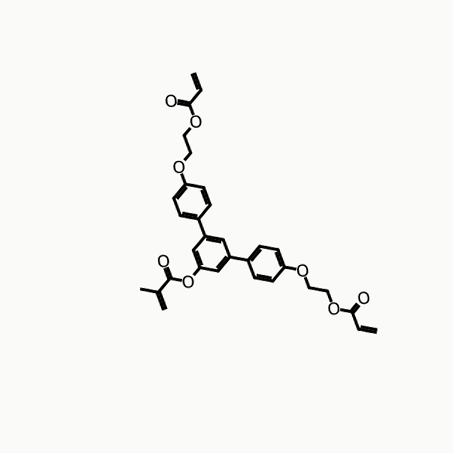 C=CC(=O)OCCOc1ccc(-c2cc(OC(=O)C(=C)C)cc(-c3ccc(OCCOC(=O)C=C)cc3)c2)cc1